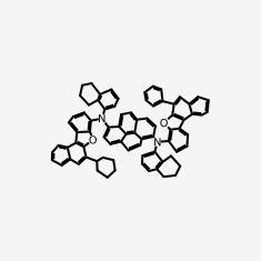 c1ccc(-c2cc3ccccc3c3c2oc2c(N(c4cccc5c4CCCC5)c4ccc5ccc6c(N(c7cccc8c7CCCC8)c7cccc8c7oc7c(C9CCCCC9)cc9ccccc9c78)ccc7ccc4c5c76)cccc23)cc1